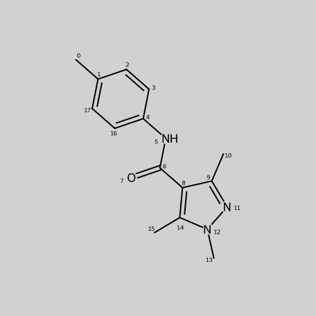 Cc1ccc(NC(=O)c2c(C)nn(C)c2C)cc1